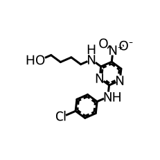 O=[N+]([O-])c1cnc(Nc2ccc(Cl)cc2)nc1NCCCCO